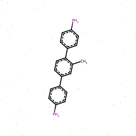 Cc1cc(-c2ccc(P)cc2)ccc1-c1ccc(P)cc1